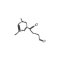 Cc1cc(C)cc(C(=O)CCC=O)c1